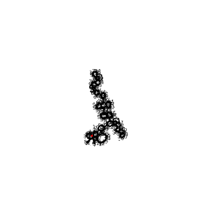 C=Cc1ccccc1C(=C)c1ccccccc(C2=CC(C3C=c4c(oc5ccc6c(ccc7c8ccccc8sc76)c45)=C(c4cccc5c(-c6c7ccccc7c(-c7cccc(-c8ccc9sc%10ccc%11c(ccc%12oc%13ccccc%13c%12%11)c%10c9c8)c7)c7ccccc67)cccc45)C3)=CCC2)c2ccccc12